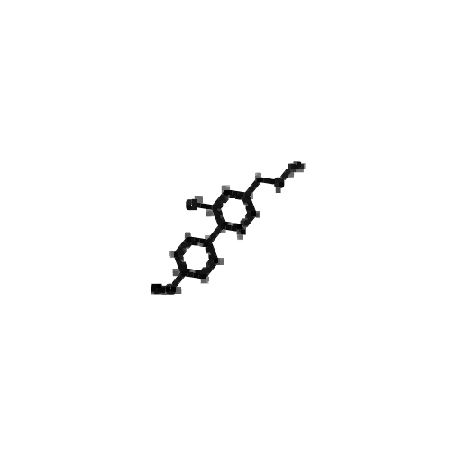 CCCOCc1cnc(-c2ccc(OC)cc2)c(Cl)c1